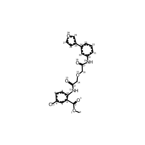 COC(=O)c1cc(Cl)ccc1NC(=O)COCC(=O)Nc1cccc(-c2ccoc2)c1